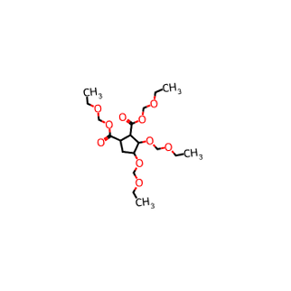 CCOCOC(=O)C1CC(OCOCC)C(OCOCC)C1C(=O)OCOCC